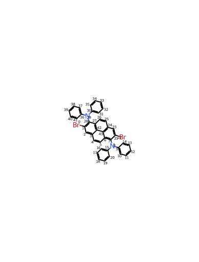 Brc1cc2ccc3c(N(c4ccccc4)c4ccccc4)c(Br)cc4ccc(c1N(c1ccccc1)c1ccccc1)c2c43